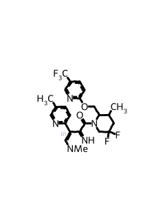 CN/C=C(\C(=N)C(=O)N1CC(F)(F)CC(C)C1COc1ccc(C(F)(F)F)cn1)c1ccc(C)cn1